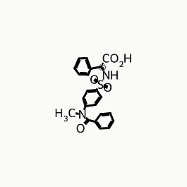 CN(C(=O)c1ccccc1)c1ccc(S(=O)(=O)N[C@H](C(=O)O)c2ccccc2)cc1